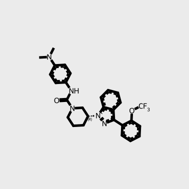 CN(C)c1ccc(NC(=O)N2CCC[C@@H](n3nc(-c4ccccc4OC(F)(F)F)c4ccccc43)C2)cc1